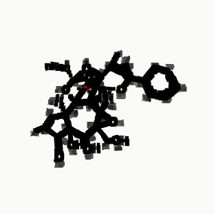 C=C(C)[C@@]12O[C@@]3(CCCCCCCCC)O[C@@H]1[C@@H]1[C@@H]4O[C@]4(CO)[C@@H](O)[C@]4(O)C(=O)C(C)=C[C@H]4[C@@]1(O3)[C@H](C)[C@H]2OC(=O)c1ccccc1